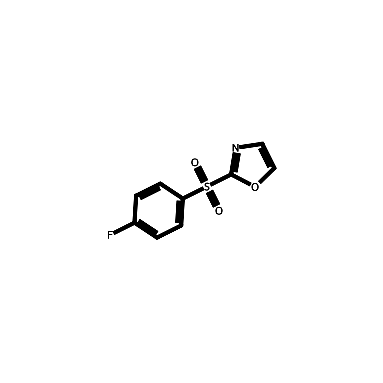 O=S(=O)(c1ccc(F)cc1)c1ncco1